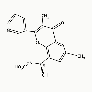 Cc1cc([C@@H](C)NC(=O)O)c2oc(-c3cccnc3)c(C)c(=O)c2c1